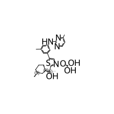 Cc1cc(Nc2nccc(C)n2)cc(-c2cnc([C@@](C)(O)[C@@H]3CCC[C@H](C)C3)s2)c1.O=C(O)O